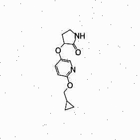 O=C1NCCC1Oc1ccc(OCC2CC2)nc1